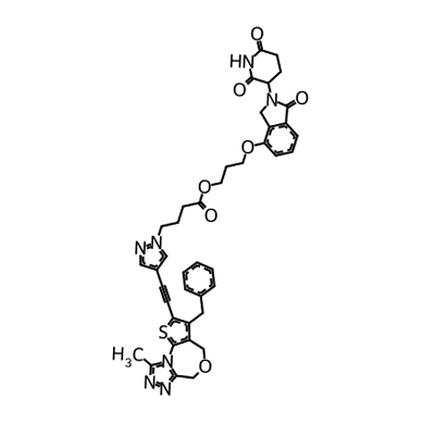 Cc1nnc2n1-c1sc(C#Cc3cnn(CCCC(=O)OCCCOc4cccc5c4CN(C4CCC(=O)NC4=O)C5=O)c3)c(Cc3ccccc3)c1COC2